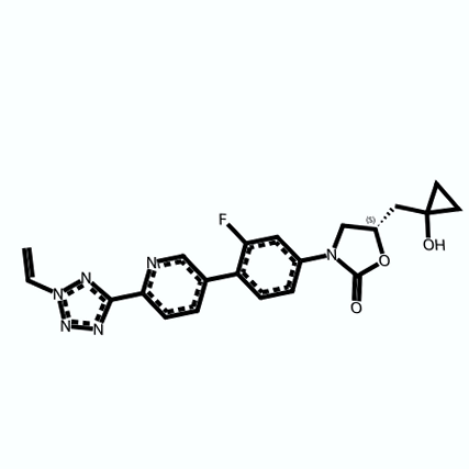 C=Cn1nnc(-c2ccc(-c3ccc(N4C[C@H](CC5(O)CC5)OC4=O)cc3F)cn2)n1